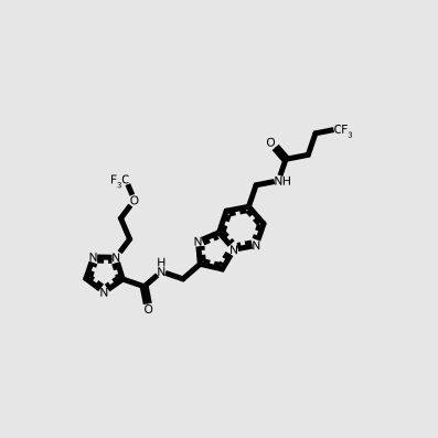 O=C(CCC(F)(F)F)NCc1cnn2cc(CNC(=O)c3ncnn3CCOC(F)(F)F)nc2c1